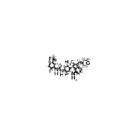 Cc1c(-c2ccc(NC(=O)Nc3cc(C(F)(F)F)ccc3F)c(F)c2)c2c(N)ncnn2c1CN1CCOCC1